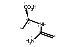 C=C(N)N[C@@H](C)C(=O)O